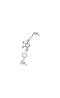 CCCCCOc1ccc(OC[C@H]2CC[C@H](CCC)CC2)c(F)c1F